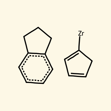 [Zr][C]1=CC=CC1.c1ccc2c(c1)CCC2